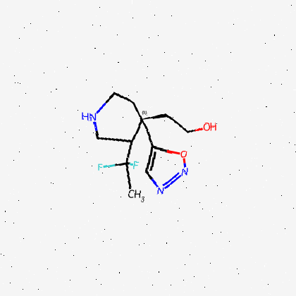 CC(F)(F)C1CNCC[C@]1(CCO)c1cnno1